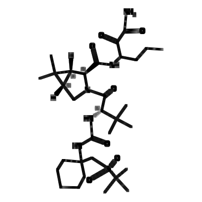 CCCC(NC(=O)[C@@H]1[C@@H]2[C@H](CN1C(=O)[C@@H](NC(=O)NC1(CS(=O)(=O)C(C)(C)C)CCCCC1)C(C)(C)C)C2(C)C)C(=O)C(N)=O